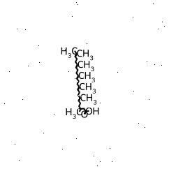 CC(C)=CCC/C(C)=C/CC/C(C)=C/CC/C(C)=C/CC/C(C)=C/CCC(C)CC(=O)O